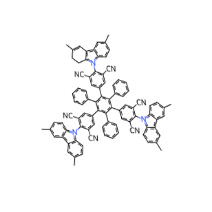 CC1=Cc2c(n(-c3c(C#N)cc(-c4c(-c5ccccc5)c(-c5cc(C#N)c(-n6c7ccc(C)cc7c7cc(C)ccc76)c(C#N)c5)c(-c5ccccc5)c(-c5cc(C#N)c(-n6c7ccc(C)cc7c7cc(C)ccc76)c(C#N)c5)c4-c4ccccc4)cc3C#N)c3ccc(C)cc23)CC1